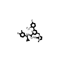 Cc1cc(C(NC(=O)c2cc(Cn3ccn(C)c3=N)cc(-c3ccc(F)cc3C(F)(F)F)n2)C2CC2)ccc1F